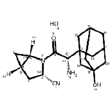 Cl.N#C[C@@H]1C[C@@H]2C[C@@H]2N1C(=O)[C@@H](N)C12CC3CC(CC(O)(C3)C1)C2